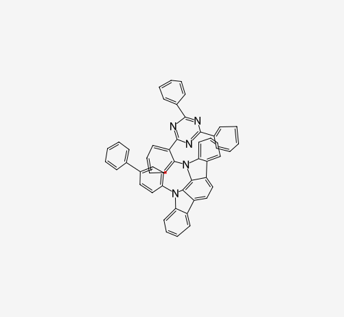 c1ccc(-c2ccc(-n3c4ccccc4c4ccc5c6ccccc6n(-c6ccccc6-c6nc(-c7ccccc7)nc(-c7ccccc7)n6)c5c43)cc2)cc1